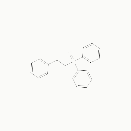 O=P(CCc1ccccc1)(c1ccccc1)c1ccccc1